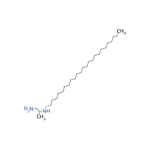 CCCCCCCCCCCCCCCCCCCCCCCCCNC(C)CN